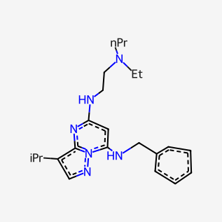 CCCN(CC)CCNc1cc(NCc2ccccc2)n2ncc(C(C)C)c2n1